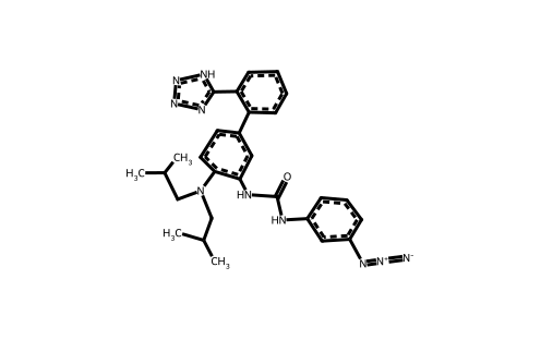 CC(C)CN(CC(C)C)c1ccc(-c2ccccc2-c2nnn[nH]2)cc1NC(=O)Nc1cccc(N=[N+]=[N-])c1